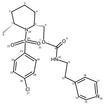 C[C@@H]1CCC[C@H](COC(=O)NCCc2ccncc2)N1S(=O)(=O)c1ccc(Cl)cc1